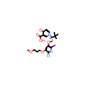 COCCCOc1cc(OC[C@H](n2ccc(=O)c(C(=O)O)c2)C(C)(C)C)c(I)nc1Cl